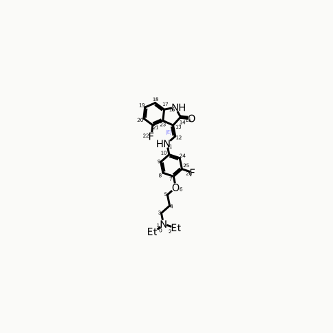 CCN(CC)CCCOc1ccc(N/C=C2/C(=O)Nc3cccc(F)c32)cc1F